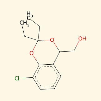 CCC1(CC)Oc2c(Cl)cccc2C(CO)O1